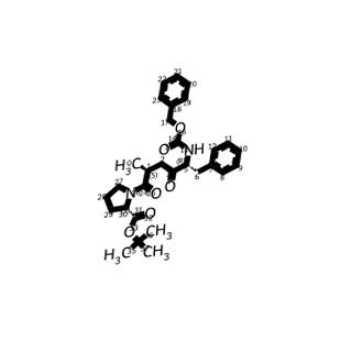 C[C@@H](CC(=O)[C@@H](Cc1ccccc1)NC(=O)OCc1ccccc1)C(=O)N1CCC[C@H]1C(=O)OC(C)(C)C